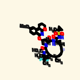 COc1ccc2c(O[C@@H]3C[C@H]4C(=O)N[C@]5(C(=O)NS(=O)(=O)C6(C)CC6)C[C@H]5/C=C\CC[C@@H](C)C[C@@H](C)[C@H](N(C(=O)O)C(C)(C)C(C)(F)F)C(=O)N4C3)nc3c(c2c1)CCCO3